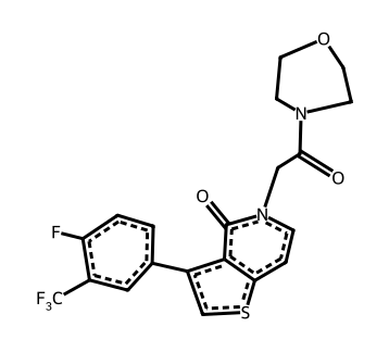 O=C(Cn1ccc2scc(-c3ccc(F)c(C(F)(F)F)c3)c2c1=O)N1CCOCC1